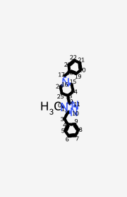 Cn1c(Cc2ccccc2)nnc1C1CCN(Cc2ccccc2)CC1